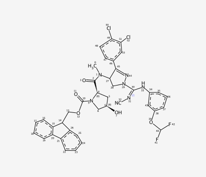 CN(C(=O)[C@H]1C[C@@H](O)CN1C(=O)OCC1c2ccccc2-c2ccccc21)C1CN(/C(=N\C#N)Nc2cccc(OC(F)F)c2)N=C1c1ccc(Cl)c(Cl)c1